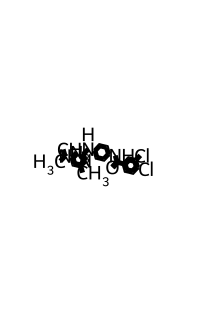 Cc1cc(N(C)C)nc(NC2CCC(NC(=O)c3ccc(Cl)c(Cl)c3)CC2)n1